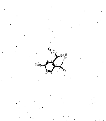 COc1cc(C(C)C(=O)O)c(C(F)F)cn1